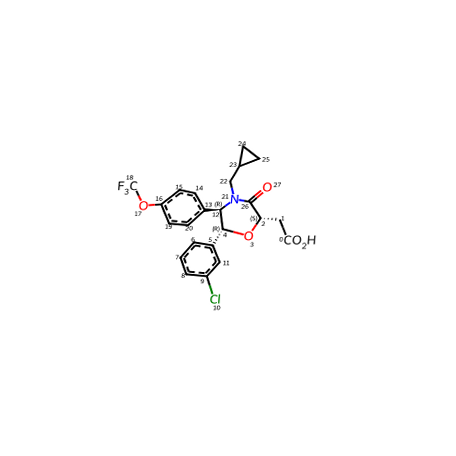 O=C(O)C[C@@H]1O[C@H](c2cccc(Cl)c2)[C@@H](c2ccc(OC(F)(F)F)cc2)N(CC2CC2)C1=O